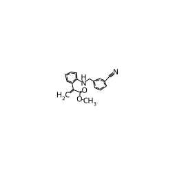 C=C(C(=O)OC)c1ccccc1NCc1cccc(C#N)c1